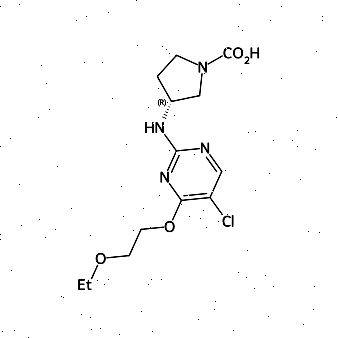 CCOCCOc1nc(N[C@@H]2CCN(C(=O)O)C2)ncc1Cl